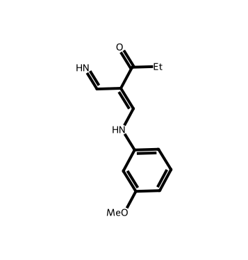 CCC(=O)/C(C=N)=C/Nc1cccc(OC)c1